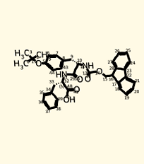 CC(C)(C)Oc1ccc(C[C@H](NC(=O)OCC2c3ccccc3-c3ccccc32)C(=O)N[C@@H](Cc2ccccc2)C(=O)O)cc1